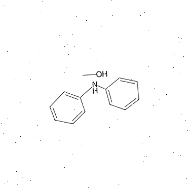 CO.c1ccc(Nc2ccccc2)cc1